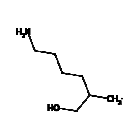 [CH2]C(CO)CCCCN